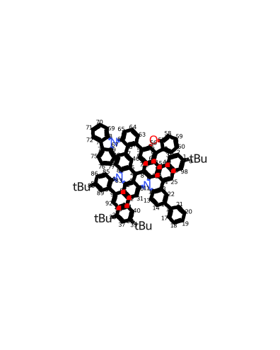 CC(C)(C)c1ccc(-c2ccc3c(c2)N(c2ccc(-c4ccccc4)cc2-c2ccccc2)c2cc(-c4cc(C(C)(C)C)cc(C(C)(C)C)c4)cc4c2C3c2cc(-c3c(-c5cccc6c5oc5ccccc56)cccc3-n3c5ccccc5c5ccccc53)ccc2N4c2ccc(C(C)(C)C)cc2-c2ccccc2)cc1